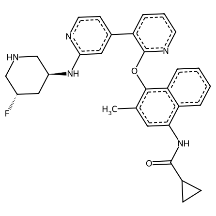 Cc1cc(NC(=O)C2CC2)c2ccccc2c1Oc1ncccc1-c1ccnc(N[C@@H]2CNC[C@@H](F)C2)c1